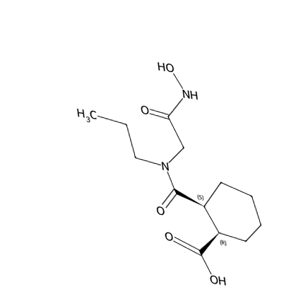 CCCN(CC(=O)NO)C(=O)[C@H]1CCCC[C@H]1C(=O)O